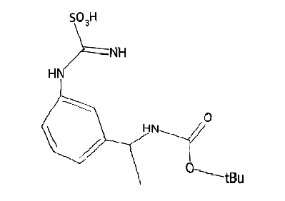 CC(NC(=O)OC(C)(C)C)c1cccc(NC(=N)S(=O)(=O)O)c1